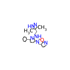 Cc1n[nH]c(C)c1CCNc1nc(-c2ccccc2)ccc1N(C=O)Cc1cccnc1